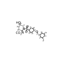 Cc1cc(C)cc(COc2ccc(S(=O)(=O)N3CC(O)CCC3C(=O)O)cc2)c1